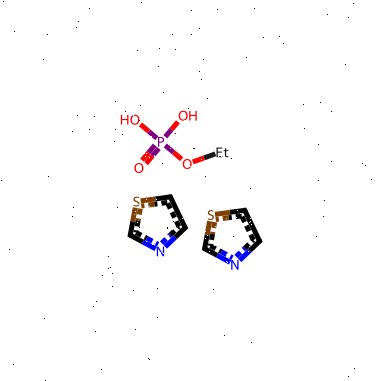 CCOP(=O)(O)O.c1cscn1.c1cscn1